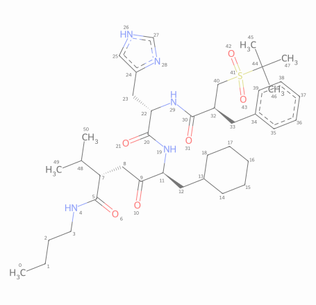 CCCCNC(=O)[C@@H](CC(=O)[C@H](CC1CCCCC1)NC(=O)[C@H](Cc1c[nH]cn1)NC(=O)[C@H](Cc1ccccc1)CS(=O)(=O)C(C)(C)C)C(C)C